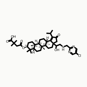 CC(C)C1=C2[C@H]3CC[C@@H]4[C@@]5(C)CC[C@H](OC(=O)CC(C)(C)C(=O)O)C(C)(C)[C@H]5CC[C@@]4(C)[C@]3(C)CCC2(C(O)CNCc2ncc(Cl)cn2)CC1=O